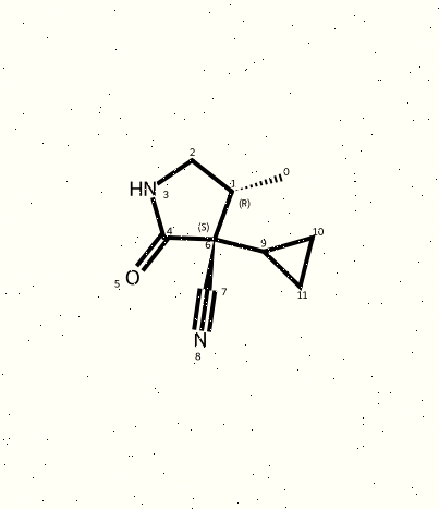 C[C@H]1CNC(=O)[C@@]1(C#N)C1CC1